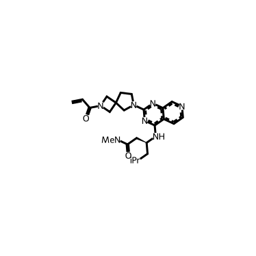 C=CC(=O)N1CC2(CCN(c3nc(N[C@H](CC(=O)NC)CC(C)C)c4ccncc4n3)C2)C1